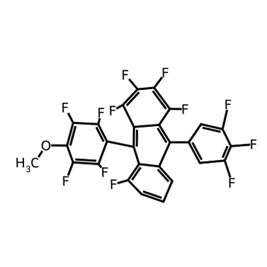 COc1c(F)c(F)c(-c2c3c(F)cccc3c(-c3cc(F)c(F)c(F)c3)c3c(F)c(F)c(F)c(F)c23)c(F)c1F